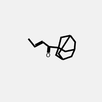 C/C=C/C(=O)C12CC3CC(CC(C3)C1)C2